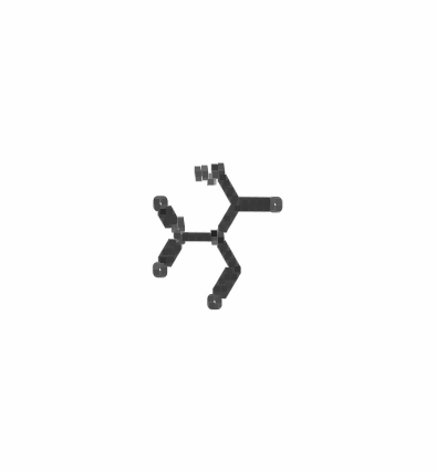 NC(=O)N(C=O)[SH](=O)=O